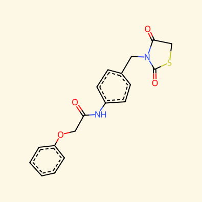 O=C(COc1ccccc1)Nc1ccc(CN2C(=O)CSC2=O)cc1